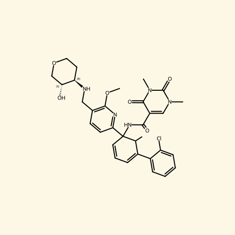 COc1nc(C2(NC(=O)c3cn(C)c(=O)n(C)c3=O)C=CC=C(c3ccccc3Cl)C2C)ccc1CN[C@@H]1CCOC[C@H]1O